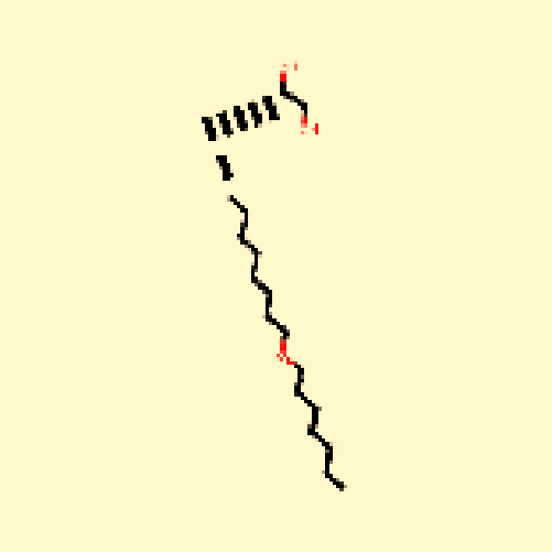 C=C.C=C.C=C.C=C.C=C.C=C.CCCCCCCCOCCCCCCC.OCCO